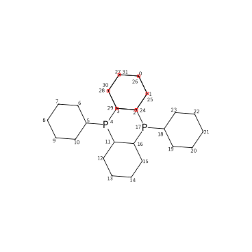 C1CCC(P(C2CCCCC2)C2CCCCC2P(C2CCCCC2)C2CCCCC2)CC1